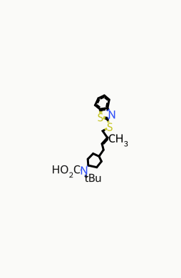 C/C(=C\CC1CCC(N(C(=O)O)C(C)(C)C)CC1)CSc1nc2ccccc2s1